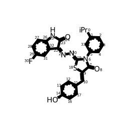 CC(C)c1cccc(N2C(=O)C(=Cc3ccc(O)cc3)SC2=NN=C2C(=O)Nc3ccc(F)cc32)c1